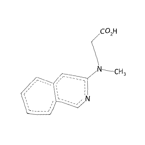 CN(CC(=O)O)c1cc2ccccc2cn1